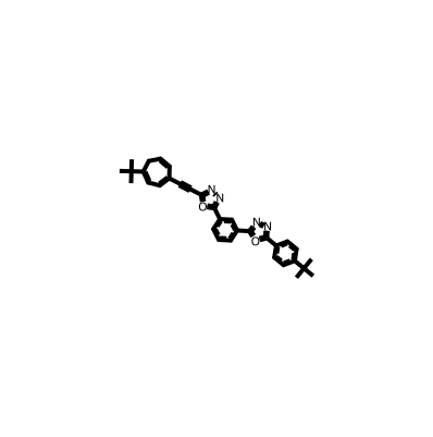 CC(C)(C)C1=CC=C(C#Cc2nnc(-c3cccc(-c4nnc(-c5ccc(C(C)(C)C)cc5)o4)c3)o2)C=CC1